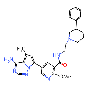 COc1ncc(-c2cc(C(F)(F)F)c3c(N)ncnn23)cc1C(=O)NCCN1CCCC(c2ccccc2)C1